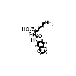 NCCCC[C@H](NC(=O)Nc1ccc2c(c1)OCCO2)C(=O)O